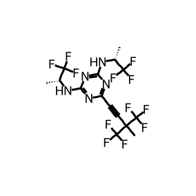 C[C@@H](Nc1nc(C#CC(C)(C(F)(F)F)C(F)(F)F)nc(N[C@H](C)C(F)(F)F)n1)C(F)(F)F